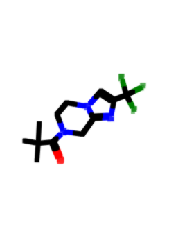 CC(C)(C)C(=O)N1CCn2cc(C(F)(F)F)nc2C1